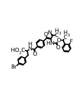 Cc1noc(-c2ccc(C(=O)NC(Cc3ccc(Br)cc3)C(=O)O)cc2)c1NC(=O)OC(C)c1ccccc1F